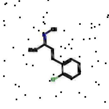 CNC(/C=C/c1ccccc1Cl)=N/C#N